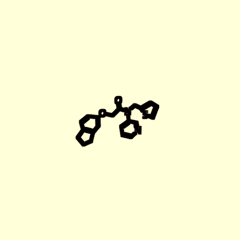 O=C(COc1ccc2c(c1)CCC2)N(Cc1cccs1)c1cccnc1